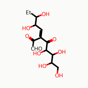 CCC(O)C(O)/C=C(\C(=O)C=O)C(=O)C(O)C(O)C(O)CO